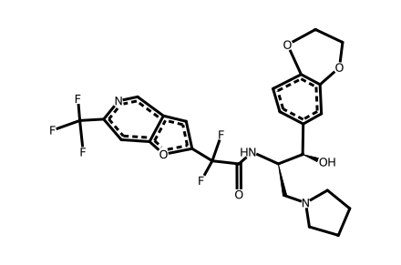 O=C(N[C@H](CN1CCCC1)[C@H](O)c1ccc2c(c1)OCCO2)C(F)(F)c1cc2cnc(C(F)(F)F)cc2o1